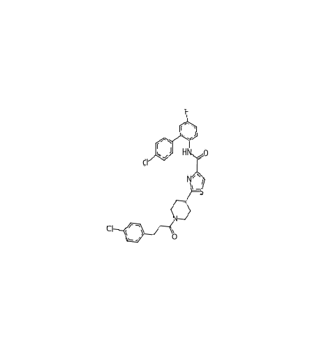 O=C(Nc1ccc(F)cc1-c1ccc(Cl)cc1)c1csc(C2CCN(C(=O)CCc3ccc(Cl)cc3)CC2)n1